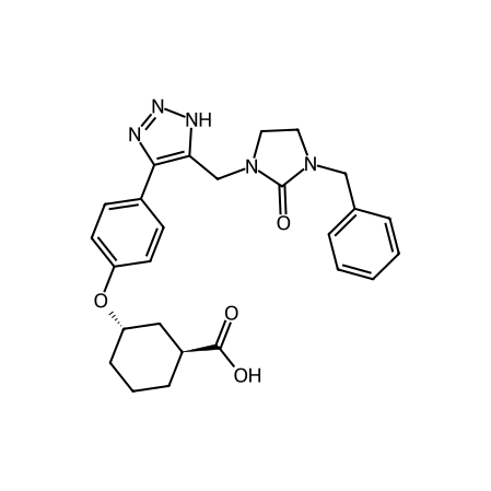 O=C(O)[C@H]1CCC[C@H](Oc2ccc(-c3nn[nH]c3CN3CCN(Cc4ccccc4)C3=O)cc2)C1